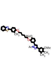 COc1ccc(-c2cc(-c3cc(C)c(C)c(OC)c3)nn2C(C)=O)cc1OCCCCCCOc1ccc(-c2nc3ccccc3s2)cc1C